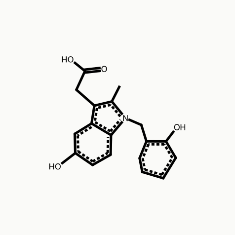 Cc1c(CC(=O)O)c2cc(O)ccc2n1Cc1ccccc1O